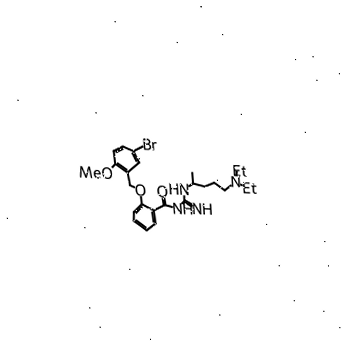 CCN(CC)CCCC(C)NC(=N)NC(=O)c1ccccc1OCc1cc(Br)ccc1OC